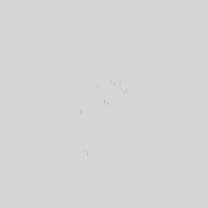 O=CNC1(NC(=O)CCCC(=O)O)C(=O)N2C(C(=O)O)=C(CSc3ccncc3)CS[C@H]21